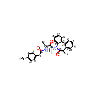 CC(C)c1ccc(CC(=O)N[C@@H](C)C(=O)NN2C(=O)C(C)c3ccccc3-c3ccccc32)cc1